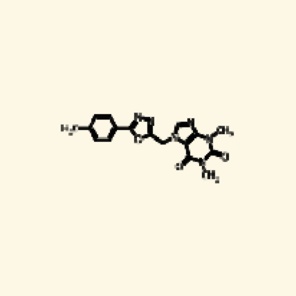 Cc1ccc(-c2nnc(Cn3cnc4c3c(=O)n(C)c(=O)n4C)o2)cc1